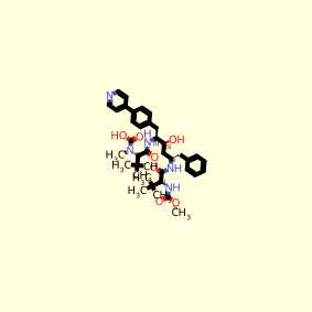 COC(=O)N[C@H](C(=O)N[C@@H](Cc1ccccc1)C[C@H](O)[C@H](Cc1ccc(-c2ccncc2)cc1)NC(=O)[C@@H](N(C)C(=O)O)C(C)(C)C)C(C)(C)C